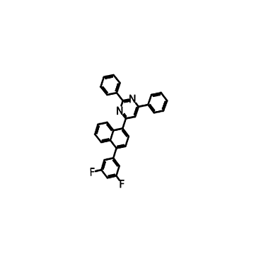 Fc1cc(F)cc(-c2ccc(-c3cc(-c4ccccc4)nc(-c4ccccc4)n3)c3ccccc23)c1